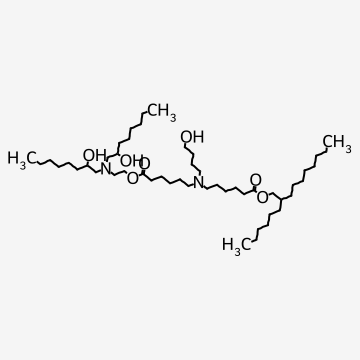 CCCCCCCCC(CCCCCC)COC(=O)CCCCCN(CCCCO)CCCCCC(=O)OCCN(CC(O)CCCCCC)CC(O)CCCCCC